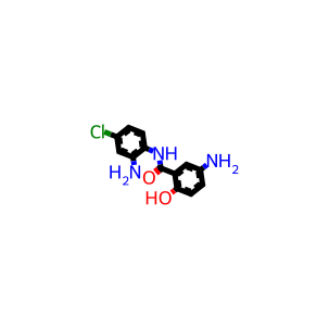 Nc1ccc(O)c(C(=O)Nc2ccc(Cl)cc2N)c1